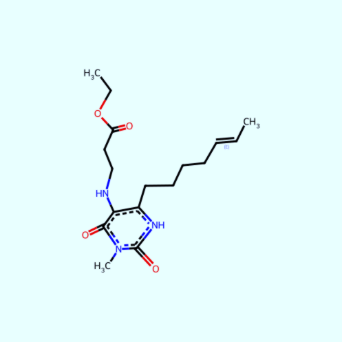 C/C=C/CCCCc1[nH]c(=O)n(C)c(=O)c1NCCC(=O)OCC